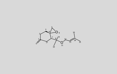 C=C1CC[C@]2(CO2)C(C(C)(C)OCC=C(C)C)C1